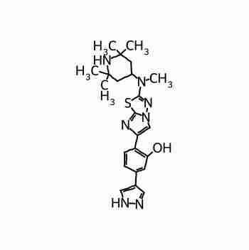 CN(c1nn2cc(-c3ccc(-c4cn[nH]c4)cc3O)nc2s1)C1CC(C)(C)NC(C)(C)C1